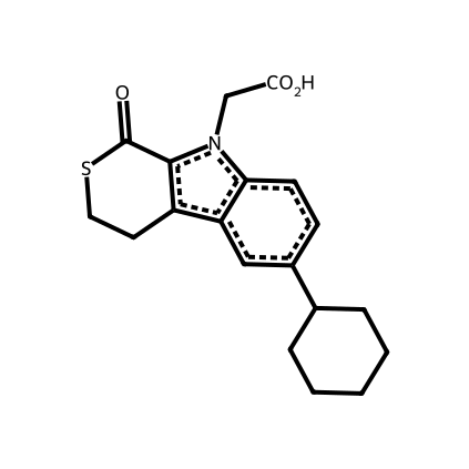 O=C(O)Cn1c2c(c3cc(C4CCCCC4)ccc31)CCSC2=O